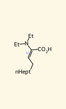 CCCCCCCC/C=C(\C(=O)O)N(CC)CC